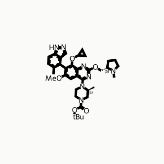 COc1cc2c(N3CCN(C(=O)OC(C)(C)C)C[C@@H]3C)nc(OC[C@@H]3CCCN3C)nc2c(OC2CC2)c1-c1c(C)ccc2[nH]ncc12